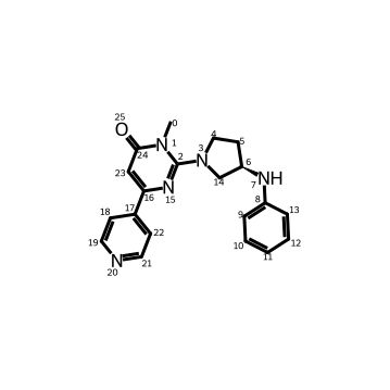 Cn1c(N2CC[C@@H](Nc3ccccc3)C2)nc(-c2ccncc2)cc1=O